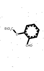 CCOC(=O)Oc1ccccc1[C]=O